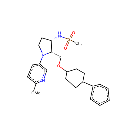 COc1ccc(N2CC[C@H](NS(C)(=O)=O)[C@@H]2COC2CCC(c3ccccc3)CC2)cn1